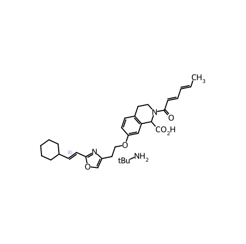 CC(C)(C)N.CC=CC=CC(=O)N1CCc2ccc(OCCc3coc(/C=C/C4CCCCC4)n3)cc2C1C(=O)O